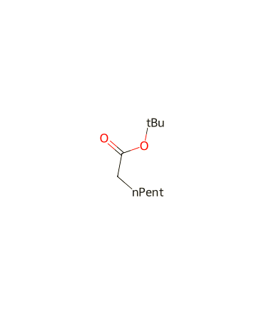 [CH2]CCCCCC(=O)OC(C)(C)C